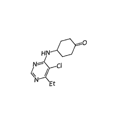 CCc1ncnc(NC2CCC(=O)CC2)c1Cl